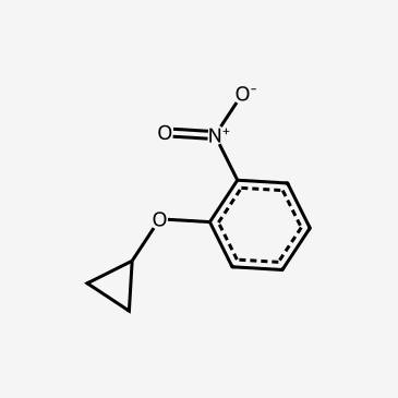 O=[N+]([O-])c1ccccc1OC1CC1